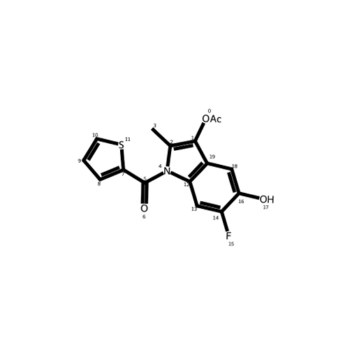 CC(=O)Oc1c(C)n(C(=O)c2cccs2)c2cc(F)c(O)cc12